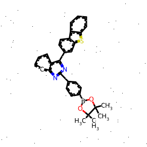 CC1(C)OB(c2ccc(-c3nc(-c4ccc5c(c4)sc4ccccc45)c4ccccc4n3)cc2)OC1(C)C